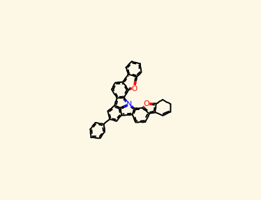 C1=Cc2c(oc3c2ccc2c4cc(-c5ccccc5)cc5c6ccc7c8ccccc8oc7c6n(c45)c23)CC1